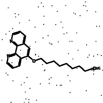 CCCCCCCCCCCCCCCCCCOc1cc2cccnc2c2ncccc12